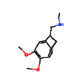 CNCC1Cc2cc(OC)c(OC)cc21